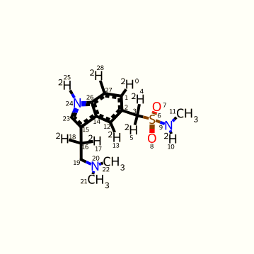 [2H]c1c(C([2H])([2H])S(=O)(=O)N([2H])C)c([2H])c2c(C([2H])([2H])CN(C)C)cn([2H])c2c1[2H]